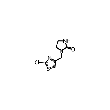 O=C1NCCN1Cc1csc(Cl)n1